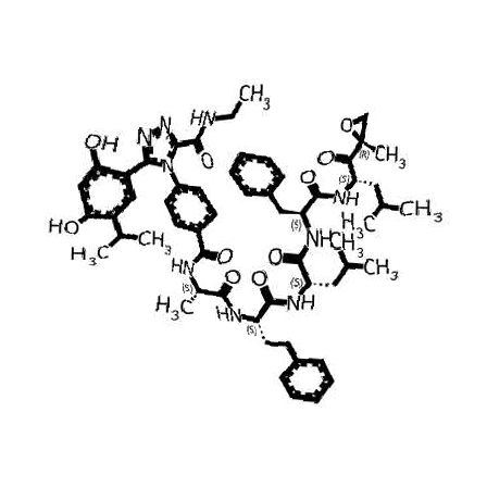 CCNC(=O)c1nnc(-c2cc(C(C)C)c(O)cc2O)n1-c1ccc(C(=O)N[C@@H](C)C(=O)N[C@@H](CCc2ccccc2)C(=O)N[C@@H](CC(C)C)C(=O)N[C@@H](Cc2ccccc2)C(=O)N[C@@H](CC(C)C)C(=O)[C@@]2(C)CO2)cc1